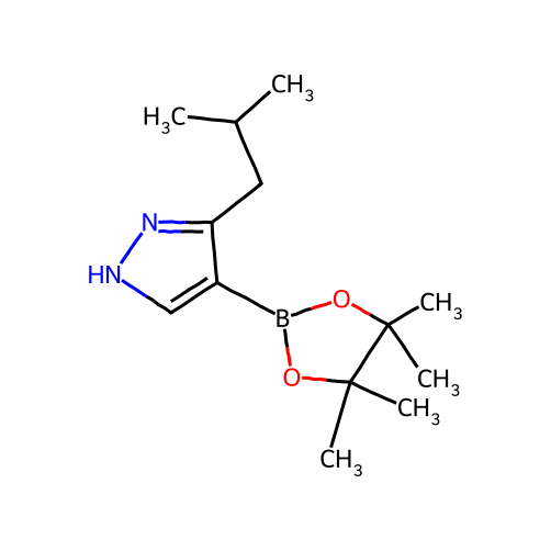 CC(C)Cc1n[nH]cc1B1OC(C)(C)C(C)(C)O1